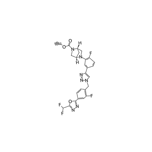 CC(C)(C)OC(=O)N1C[C@@H]2C[C@H]1CN2c1cc(-c2cn(Cc3ccc(-c4nnc(C(F)F)o4)cc3F)nn2)ccc1F